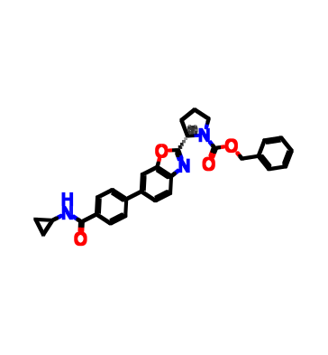 O=C(NC1CC1)c1ccc(-c2ccc3nc([C@@H]4CCCN4C(=O)OCc4ccccc4)oc3c2)cc1